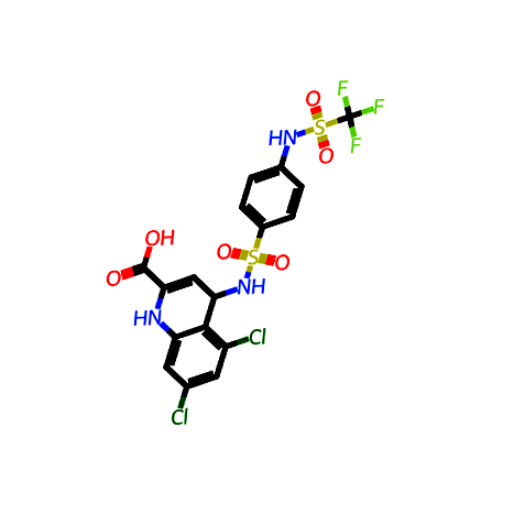 O=C(O)C1=CC(NS(=O)(=O)c2ccc(NS(=O)(=O)C(F)(F)F)cc2)c2c(Cl)cc(Cl)cc2N1